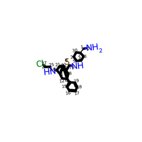 NC[C@H]1CC[C@H](NC(=S)C23CC4CC(c5ccccc5)(CC(C2)C4NCCCl)C3)CC1